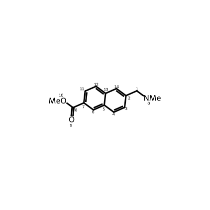 CNCc1ccc2cc(C(=O)OC)ccc2c1